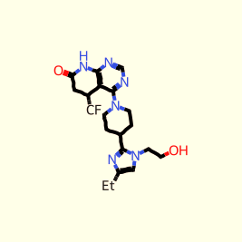 CCc1cn(CCO)c(C2CCN(c3ncnc4c3C(C(F)(F)F)CC(=O)N4)CC2)n1